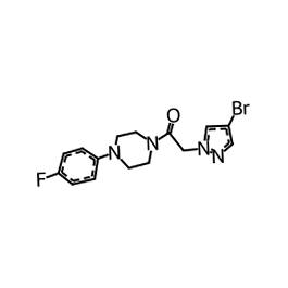 O=C(Cn1cc(Br)cn1)N1CCN(c2ccc(F)cc2)CC1